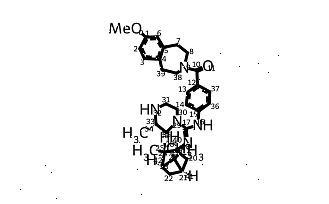 COc1ccc2c(c1)CCN(C(=O)c1ccc(N/C(=N/[C@H]3C[C@H]4C[C@@H]([C@@H]3C)C4(C)C)N3CCN[C@@H](C)C3)cc1)CC2